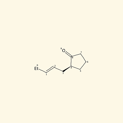 CC/C=C/C[C@@H]1CCCC1=O